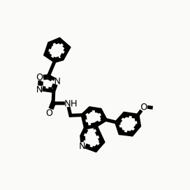 COc1cccc(-c2ccc(CNC(=O)c3noc(-c4ccccc4)n3)c3cnccc23)c1